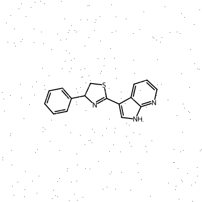 c1ccc(C2CSC(c3c[nH]c4ncccc34)=N2)cc1